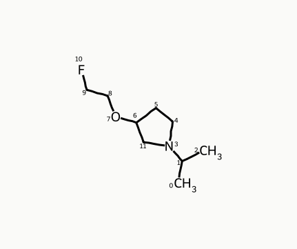 CC(C)N1CCC(OCCF)C1